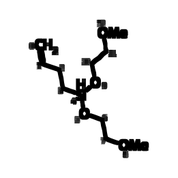 C=CCC[SiH](OCCOC)OCCOC